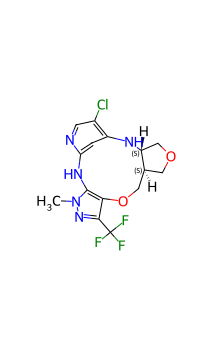 Cn1nc(C(F)(F)F)c2c1Nc1cc(c(Cl)cn1)N[C@@H]1COC[C@H]1CO2